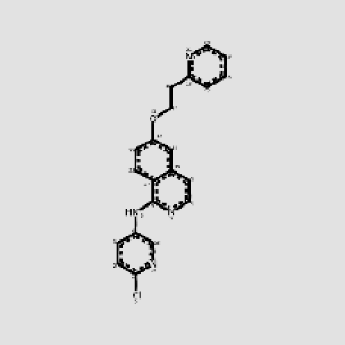 Clc1ccc(Nc2nccc3cc(OCCc4ccccn4)ccc23)cn1